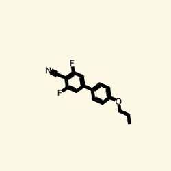 CCCOc1ccc(-c2cc(F)c(C#N)c(F)c2)cc1